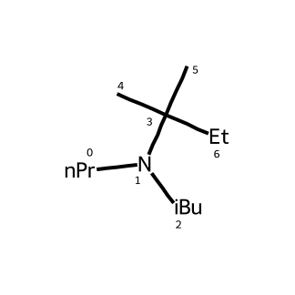 CCCN(C(C)CC)C(C)(C)CC